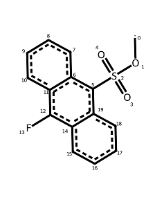 [CH2]OS(=O)(=O)c1c2ccccc2c(F)c2ccccc12